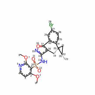 COc1ccnc(OC)c1S(=O)(=O)Nc1noc2c1C[C@@]1(C[C@@H]1C)c1ccc(Br)cc1-2